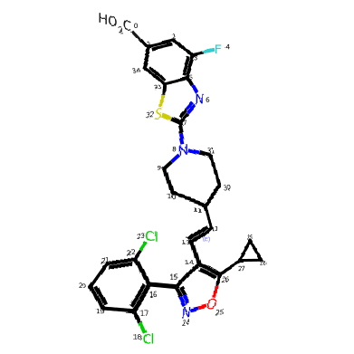 O=C(O)c1cc(F)c2nc(N3CCC(/C=C/c4c(-c5c(Cl)cccc5Cl)noc4C4CC4)CC3)sc2c1